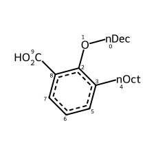 CCCCCCCCCCOc1c(CCCCCCCC)cccc1C(=O)O